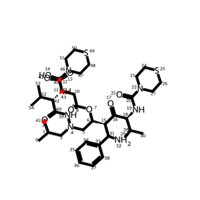 CC(C)CN(CC(OC(=O)CCC(=O)O)[C@@H](C(=O)[C@@H](NC(=O)N1CCSCC1)C(C)C)C(N)c1ccccc1)NC(=O)[C@@H](NC(=O)N1CCSCC1)C(C)C